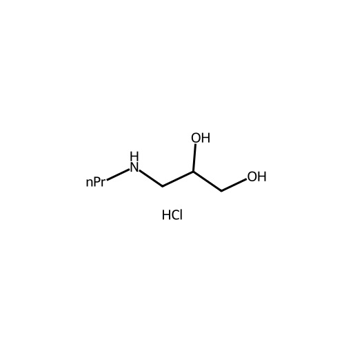 CCCNCC(O)CO.Cl